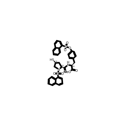 COC(=O)[C@H](Cc1ccc(OS(=O)(=O)c2cccc3ccccc23)cc1)NC(=O)[C@@H]1C[C@H](S)CN1S(=O)(=O)c1cccc2ccccc12